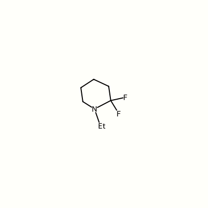 [CH2]CN1CCCCC1(F)F